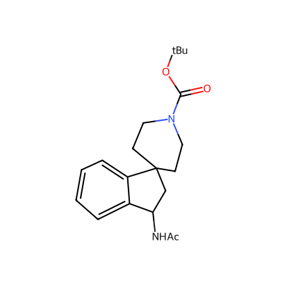 CC(=O)NC1CC2(CCN(C(=O)OC(C)(C)C)CC2)c2ccccc21